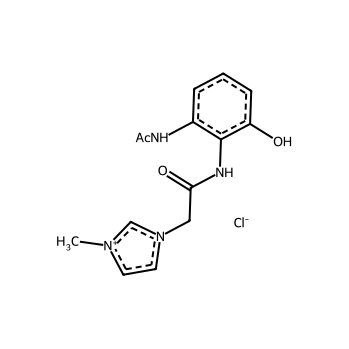 CC(=O)Nc1cccc(O)c1NC(=O)Cn1cc[n+](C)c1.[Cl-]